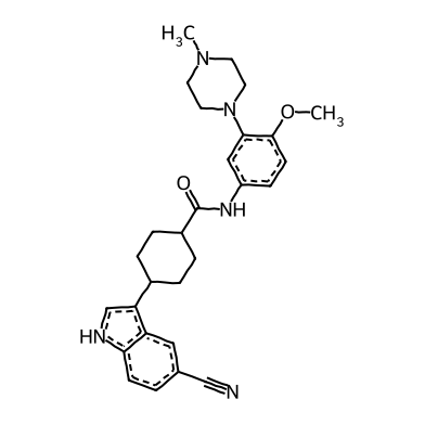 COc1ccc(NC(=O)C2CCC(c3c[nH]c4ccc(C#N)cc34)CC2)cc1N1CCN(C)CC1